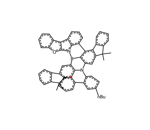 CCCCc1ccc(N2c3cc4c(cc3B3c5c2cc2c(c5-c5cccc6c7c8ccccc8oc7n3c56)-c3ccccc3C2(C)C)-c2ccccc2C4(C)C)c(-c2ccccc2)c1